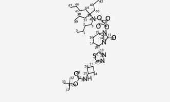 CCCCN(OS(=O)(=O)ON1C(=O)N2CC1CC[C@H]2c1nnc([C@H]2C[C@H](NC(=O)OC(C)(C)C)C2)s1)C(CCC)(CCCC)CCCC